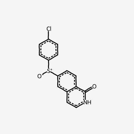 O=c1[nH]ccc2cc([S+]([O-])c3ccc(Cl)cc3)ccc12